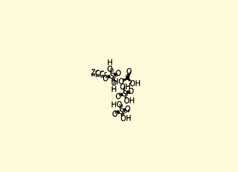 O=C(O)O.O=S(=O)(O)O.O=S(=O)(O)O.O=S(=O)(O)O.[Cr].[Cr].[Zr]